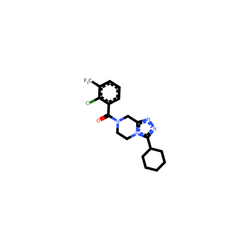 O=C(c1cccc(C(F)(F)F)c1Cl)N1CCn2c(nnc2C2CCCCC2)C1